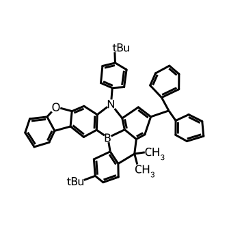 CC(C)(C)c1ccc(N2c3cc4oc5ccccc5c4cc3B3c4cc(C(C)(C)C)ccc4C(C)(C)c4cc(C(c5ccccc5)c5ccccc5)cc2c43)cc1